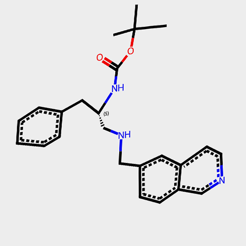 CC(C)(C)OC(=O)N[C@H](CNCc1ccc2cnccc2c1)Cc1ccccc1